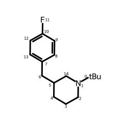 CC(C)(C)N1CCCC(Cc2ccc(F)cc2)C1